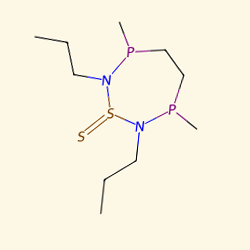 CCCN1P(C)CCP(C)N(CCC)S1=S